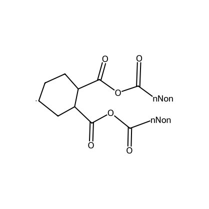 CCCCCCCCCC(=O)OC(=O)C1C[CH]CCC1C(=O)OC(=O)CCCCCCCCC